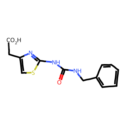 O=C(O)Cc1csc(NC(=O)NCc2ccccc2)n1